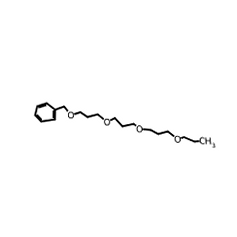 CCCOCCCOCCCOCCCOCc1ccccc1